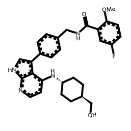 COc1ccc(F)cc1C(=O)NCc1ccc(-c2c[nH]c3nccc(N[C@H]4CC[C@H](CO)CC4)c23)cc1